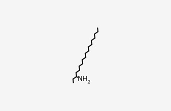 CCCCCCCCCCCCCCCC(N)CC